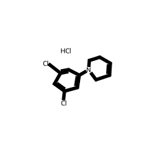 Cl.Clc1cc(Cl)cc(N2CC=CCC2)c1